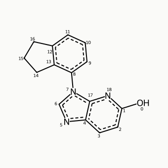 Oc1ccc2ncn(-c3cccc4c3CCC4)c2n1